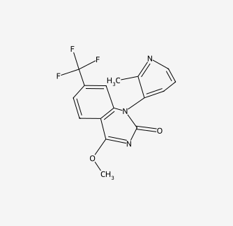 COc1nc(=O)n(-c2cccnc2C)c2cc(C(F)(F)F)ccc12